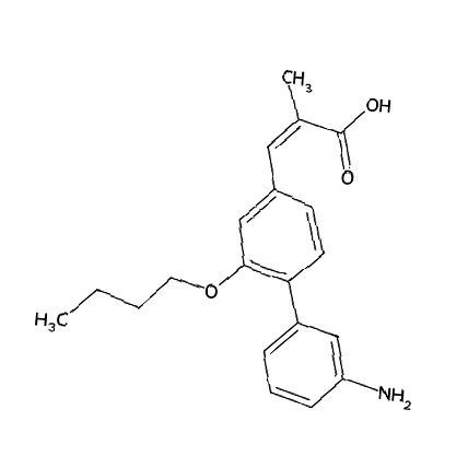 CCCCOc1cc(/C=C(/C)C(=O)O)ccc1-c1cccc(N)c1